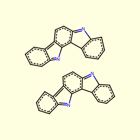 c1ccc2c(c1)N=c1ccc3c(c1-2)N=c1ccccc1=3.c1ccc2c(c1)N=c1ccc3c(c1-2)N=c1ccccc1=3